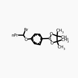 CCCC(Br)Oc1ccc(B2OC(C)(C)C(C)(C)O2)cc1